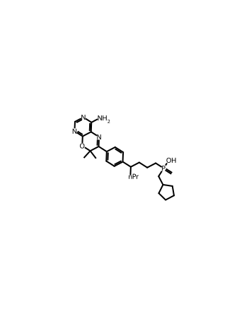 C=P(O)(CCCC(CCC)c1ccc(C2=Nc3c(N)ncnc3OC2(C)C)cc1)CC1CCCC1